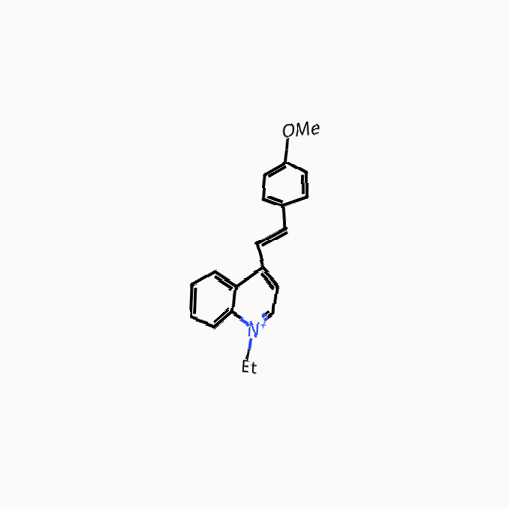 CC[n+]1ccc(C=Cc2ccc(OC)cc2)c2ccccc21